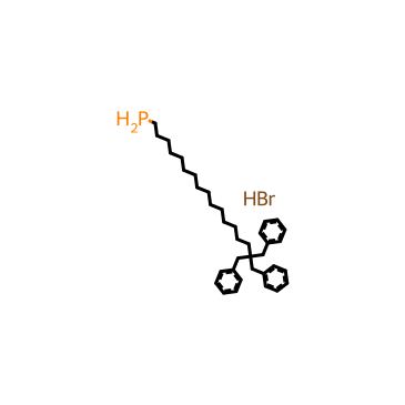 Br.PCCCCCCCCCCCCCCCC(Cc1ccccc1)(Cc1ccccc1)Cc1ccccc1